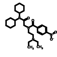 CCN(CC)CCN(CC(=O)N(C1CCCCC1)C1CCCCC1)C(=O)c1ccc([N+](=O)[O-])cc1